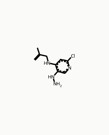 C=C(C)CNc1cc(Cl)ncc1NN